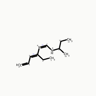 C=C/C=C(CC)/N=C\NC(C)CC